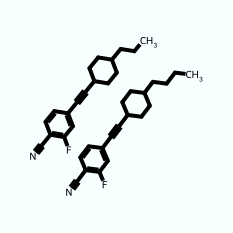 CCCC1CCC(C#Cc2ccc(C#N)c(F)c2)CC1.CCCCC1CCC(C#Cc2ccc(C#N)c(F)c2)CC1